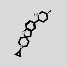 C[C@H]1CCC(c2ccc3c(c2)CC2(CCN(C4CC4)CC2)O3)NC1